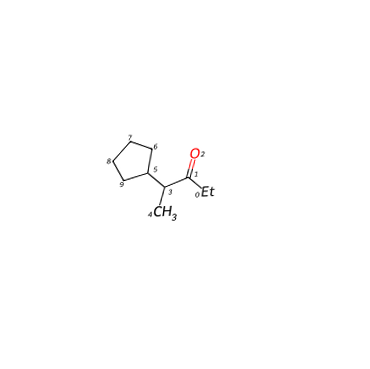 CCC(=O)C(C)C1CCCC1